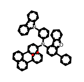 c1ccc(-c2ccc(N(c3ccc(-c4cccc5cccc(-c6ccccc6)c45)cc3)c3cccc(-n4c5ccccc5c5ccccc54)c3)c3c2oc2ccccc23)cc1